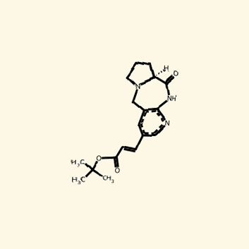 CC(C)(C)OC(=O)C=Cc1cnc2c(c1)CN1CCC[C@H]1C(=O)N2